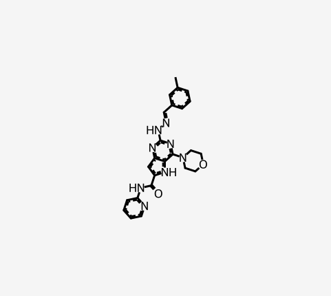 Cc1cccc(/C=N/Nc2nc(N3CCOCC3)c3[nH]c(C(=O)Nc4ccccn4)cc3n2)c1